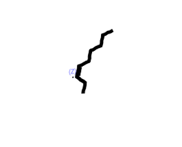 CC/[C]=C\CCCCC